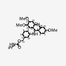 COc1ccc2c(Nc3cccc(COC(=O)NC(C)C)c3)c3cc(OC)c(OC)cc3nc2c1